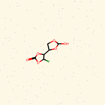 O=C1OC(F)C(C2COC(O)O2)O1